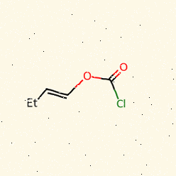 CCC=COC(=O)Cl